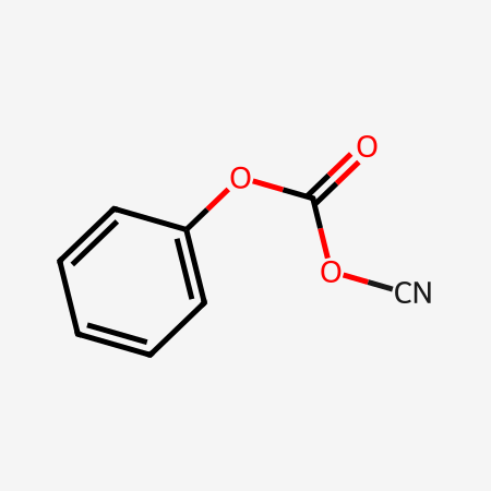 N#COC(=O)Oc1ccccc1